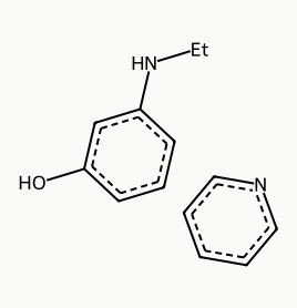 CCNc1cccc(O)c1.c1ccncc1